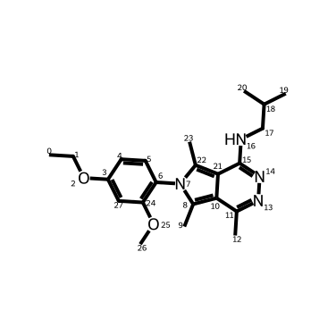 CCOc1ccc(-n2c(C)c3c(C)nnc(NCC(C)C)c3c2C)c(OC)c1